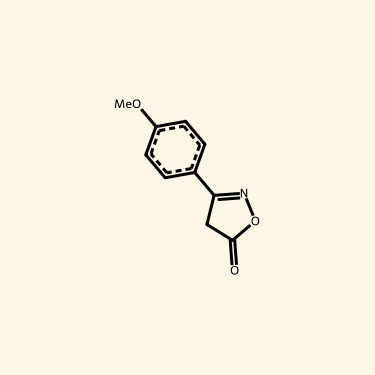 COc1ccc(C2=NOC(=O)C2)cc1